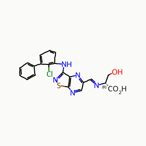 O=C(O)[C@@H](CO)N=Cc1cnc2snc(Nc3cccc(-c4ccccc4)c3Cl)c2n1